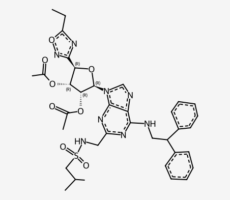 CCc1nc([C@H]2O[C@@H](n3cnc4c(NCC(c5ccccc5)c5ccccc5)nc(CNS(=O)(=O)CC(C)C)nc43)[C@H](OC(C)=O)[C@@H]2OC(C)=O)no1